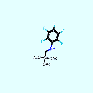 CC(=O)O[Si](CNc1c(F)c(F)c(F)c(F)c1F)(OC(C)=O)OC(C)=O